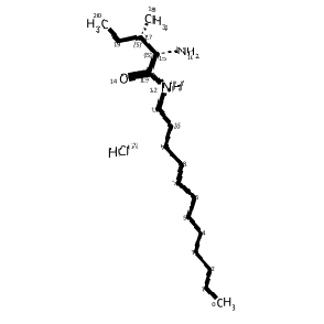 CCCCCCCCCCCCNC(=O)[C@@H](N)[C@@H](C)CC.Cl